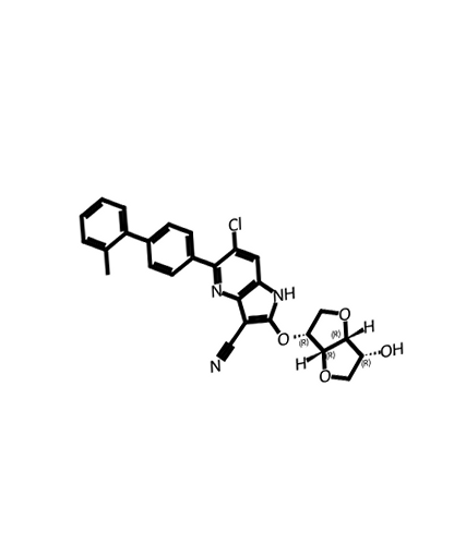 Cc1ccccc1-c1ccc(-c2nc3c(C#N)c(O[C@@H]4CO[C@H]5[C@@H]4OC[C@H]5O)[nH]c3cc2Cl)cc1